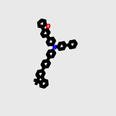 CC1(C)c2ccccc2-c2cc(-c3ccc(-c4ccc(N(c5ccc(-c6ccccc6)cc5)c5ccc(-c6ccc7c(c6)oc6ccccc67)cc5)cc4)cc3)ccc21